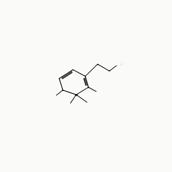 BCCC1=C(C)C(C)(C)C(C)C=C1